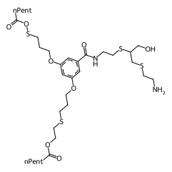 CCCCCC(=O)OCCSCCCOc1cc(OCCCSOC(=O)CCCCC)cc(C(=O)NCCSC(CO)CSCCN)c1